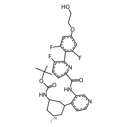 C[C@@H]1CC(NC(=O)OC(C)(C)C)CC(c2ccncc2NC(=O)c2ccc(F)c(-c3c(F)cc(OCCO)cc3F)n2)C1